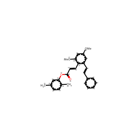 COc1cc(/C=C/c2ccccc2)c(/C=C/C(=O)Oc2cc(C)ccc2C)c(OC)c1